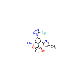 Cc1ccc(-c2cc(-n3ncnc3C(F)(F)F)cc(C(N)=O)c2[C@H](C)CO)nc1